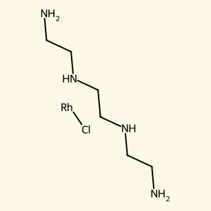 NCCNCCNCCN.[Cl][Rh]